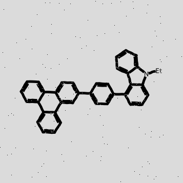 CCn1c2ccccc2c2c(-c3ccc(-c4ccc5c6ccccc6c6ccccc6c5c4)cc3)cccc21